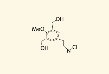 COc1c(CO)cc(CCN(C)Cl)cc1CO